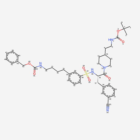 CC(C)(C)OC(=O)NCCC1CCN(C(=O)[C@H](Cc2cccc(C#N)c2)NS(=O)(=O)c2cccc(CCCCNC(=O)OCc3ccccc3)c2)CC1